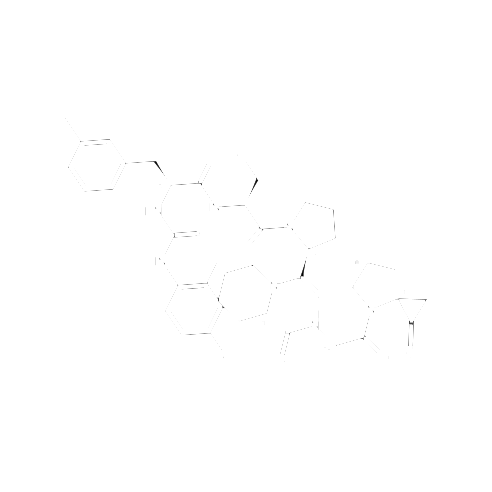 Cc1cccc(C[C@H](NC(=O)Nc2ccc(Cl)cc2F)C(=O)N[C@@H](CO)C(=O)N2CCC[C@H]2C(=O)N2CCCC[C@H]2C(=O)N[C@@H](C)C(=O)N2C[C@H](C)C[C@@]23CC3=O)c1